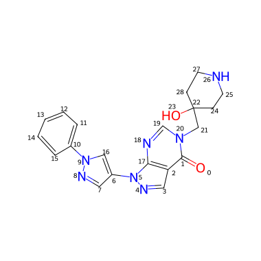 O=c1c2cnn(-c3cnn(-c4ccccc4)c3)c2ncn1CC1(O)CCNCC1